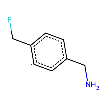 NCc1c[c]c(CF)cc1